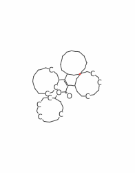 O=C(OC1CCCCCCCCCCC1)C(=C(C1CCCCCCCCCCC1)C1CCCCCCCCCCC1)C1CCCCCCCCCCC1